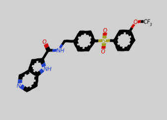 O=C(NCc1ccc(S(=O)(=O)c2cccc(OC(F)(F)F)c2)cc1)c1cc2cnccc2[nH]1